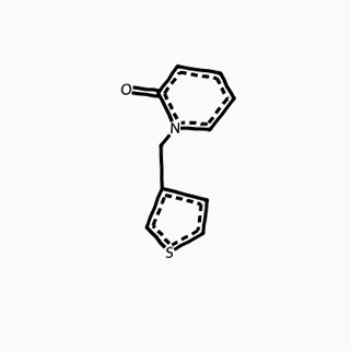 O=c1ccccn1Cc1ccsc1